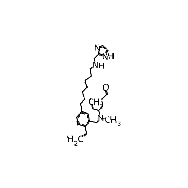 C=Cc1ccc(CCCCCCCNCc2ncc[nH]2)cc1CN(C)C(C=C)CCC=O